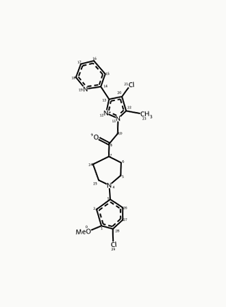 COc1cc(N2CCC(C(=O)Cn3nc(-c4ccccn4)c(Cl)c3C)CC2)ccc1Cl